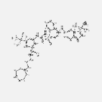 CC(C)(C)c1cc(NC(=O)N[C@@]2(C=O)C=C[C@@H](Oc3ccc4nnc(C(C)(C)C)n4c3)c3ccccc32)nc(C(=O)NCCCN2CCCOCC2)n1